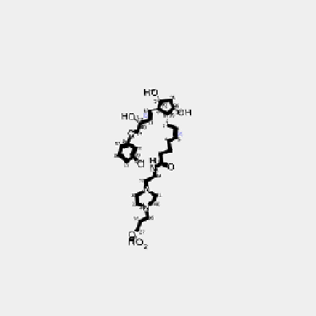 O=C(CCC/C=C\C[C@@H]1[C@@H](/C=C/[C@@H](O)COc2cccc(Cl)c2)[C@H](O)C[C@@H]1O)NCCN1CCN(CCCO[N+](=O)[O-])CC1